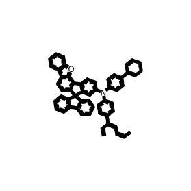 C=C/C(=C\C=C/C)c1ccc(N(c2ccc(C3=CCCC=C3)cc2)c2ccc3c(c2)C2(c4ccccc4-c4ccccc42)c2ccc4c(oc5ccccc54)c2-3)cc1